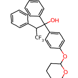 OC(c1ccccc1)(c1ccc(OC2CCCCO2)cc1)C(c1ccccc1)C(F)(F)F